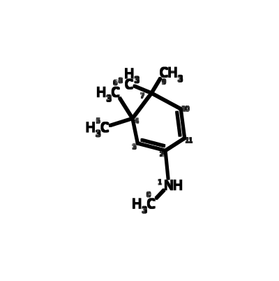 CNC1=CC(C)(C)C(C)(C)C=C1